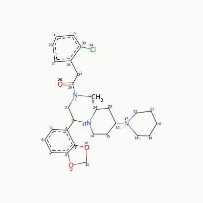 CN(CC(c1cccc2c1OCO2)N1CCC(N2CCCCC2)CC1)C(=O)Cc1ccccc1Cl